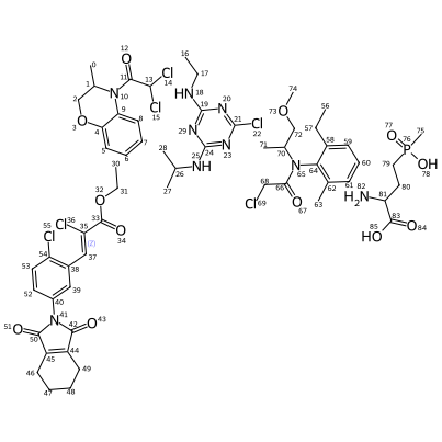 CC1COc2ccccc2N1C(=O)C(Cl)Cl.CCNc1nc(Cl)nc(NC(C)C)n1.CCOC(=O)/C(Cl)=C/c1cc(N2C(=O)C3=C(CCCC3)C2=O)ccc1Cl.CCc1cccc(C)c1N(C(=O)CCl)C(C)COC.CP(=O)(O)CCC(N)C(=O)O